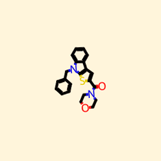 O=C(c1cc2c3ccccc3n(Cc3ccccc3)c2s1)N1CCOCC1